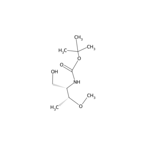 CO[C@H](C)[C@H](CO)NC(=O)OC(C)(C)C